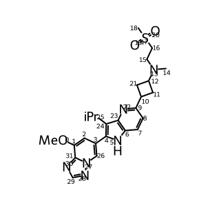 COc1cc(-c2[nH]c3ccc(C4CC(N(C)CCS(C)(=O)=O)C4)nc3c2C(C)C)cn2ncnc12